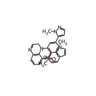 Cn1nccc1-c1ccc(S(C)(=O)=O)c(N2CC=Nc3cccc(-c4ccc5ccn(C)c5c4)c32)c1